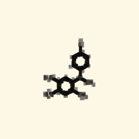 Cc1cc(N(C)c2ccc(Cl)cc2)c(C)cc1N